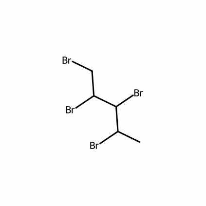 CC(Br)C(Br)C(Br)CBr